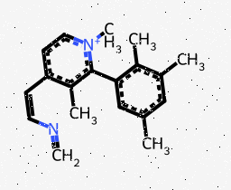 C=N/C=C\c1cc[n+](C)c(-c2cc(C)cc(C)c2C)c1C